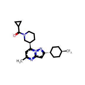 Cc1cc([C@@H]2CCCN(C(=O)C3CC3)C2)n2nc([C@H]3CC[C@H](C(F)(F)F)CC3)cc2n1